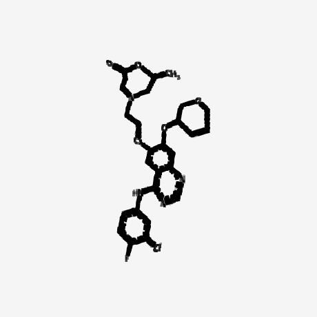 CC1CN(CCOc2cc3c(Nc4ccc(F)c(Cl)c4)ncnc3cc2OC2CCCOC2)CC(=O)O1